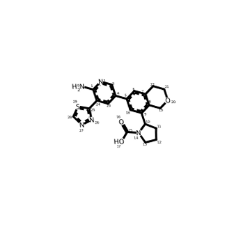 Nc1ncc(-c2cc3c(c(C4CCCN4C(=O)O)c2)COCC3)cc1-c1nncs1